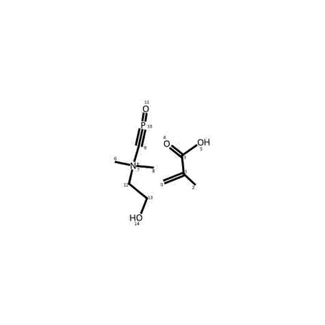 C=C(C)C(=O)O.C[N+](C)(C#P=O)CCO